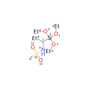 CCO[Si](OCC)(OCC)C(CC)NS(C)(=O)=O